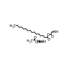 CC(=O)O.CCCCCCCCCCCCCCCC(=O)OC(=O)C=N.[NaH].[NaH]